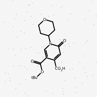 CC(C)(C)OC(=O)c1cn(C2CCOCC2)c(=O)cc1C(=O)O